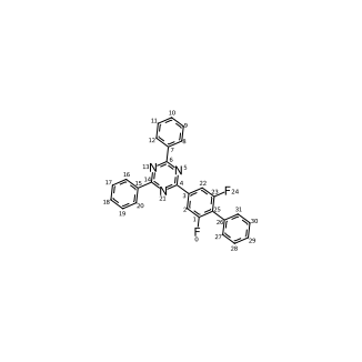 Fc1cc(-c2nc(-c3ccccc3)nc(-c3ccccc3)n2)cc(F)c1-c1ccccc1